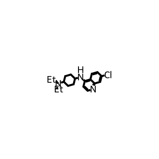 CCN(CC)C1CCC(Nc2ccnc3cc(Cl)ccc23)CC1